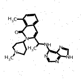 Cc1cccc2cc(C(C)Nc3ncnc4[nH]cnc34)n(C3CCN(C)CC3)c(=O)c12